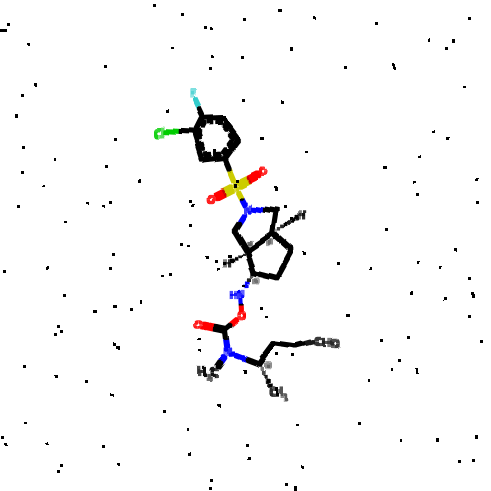 C[C@@H](CCC=O)N(C)C(=O)ON[C@H]1CC[C@@H]2CN(S(=O)(=O)c3ccc(F)c(Cl)c3)C[C@@H]21